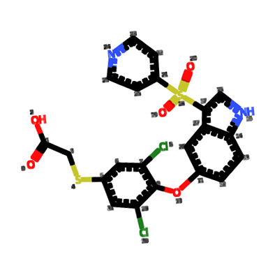 O=C(O)CSc1cc(Cl)c(Oc2ccc3[nH]cc(S(=O)(=O)c4ccncc4)c3c2)c(Cl)c1